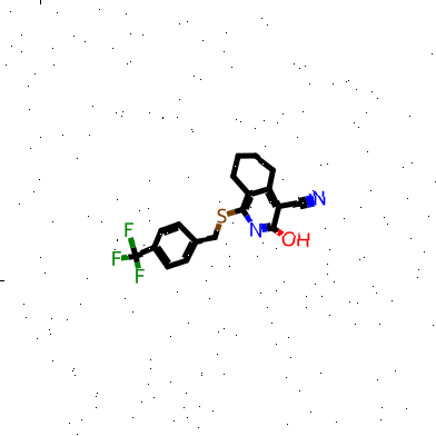 N#Cc1c(O)nc(SCc2ccc(C(F)(F)F)cc2)c2c1CCCC2